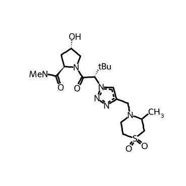 CNC(=O)[C@H]1C[C@H](O)CN1C(=O)[C@@H](n1cc(CN2CCS(=O)(=O)CC2C)nn1)C(C)(C)C